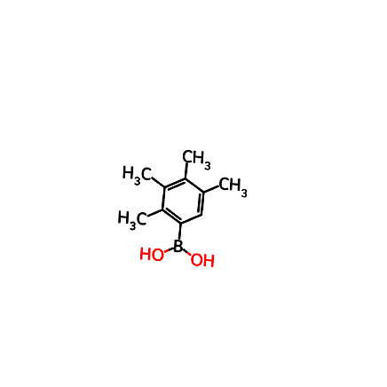 Cc1cc(B(O)O)c(C)c(C)c1C